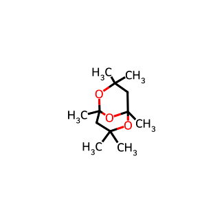 CC1(C)CC2(C)OC(C)(C)CC(C)(O1)O2